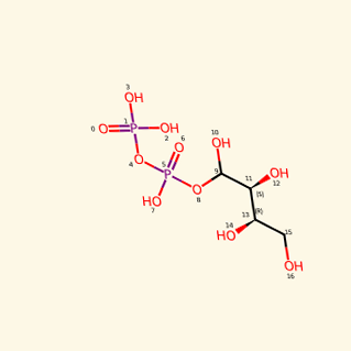 O=P(O)(O)OP(=O)(O)OC(O)[C@@H](O)[C@H](O)CO